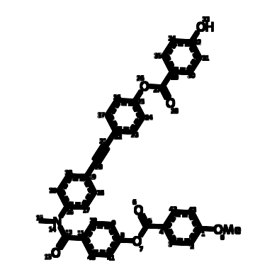 COc1ccc(C(=O)Oc2ccc(C(=O)N(C)c3ccc(C#Cc4ccc(OC(=O)c5ccc(O)cc5)cc4)cc3)cc2)cc1